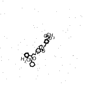 CN(C(=O)C(CCN1CCC2(CC1)CCN(Cc1ccc(S(C)(=O)=O)cc1)C2=O)c1ccccc1)C1CCCCC1